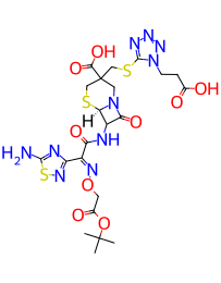 CC(C)(C)OC(=O)CON=C(C(=O)NC1C(=O)N2CC(CSc3nnnn3CCC(=O)O)(C(=O)O)CS[C@H]12)c1nsc(N)n1